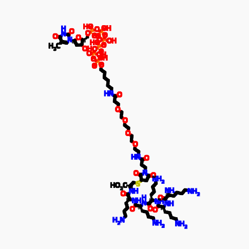 Cc1cn([C@H]2CC(O)[C@@H](COP(=O)(O)OP(=O)(O)OP(=O)(O)OP(=O)(O)OP(=O)(O)OP(=O)(O)OCCCCCCNC(=O)CCOCCOCCOCCOCCNC(=O)CCN3C(=O)CC(SC[C@H](NC(=O)[C@H](CCCCN)NC(=O)[C@H](CCCCN)NC(=O)[C@H](CCCCN)NC(=O)[C@H](CCCCN)NC(=O)[C@@H](N)CCCCN)C(=O)O)C3=O)O2)c(=O)[nH]c1=O